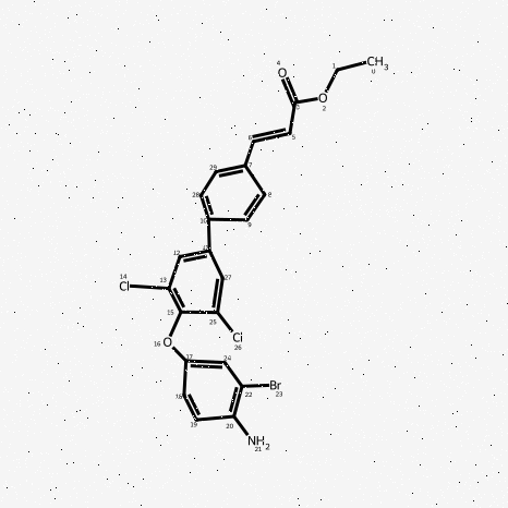 CCOC(=O)C=Cc1ccc(-c2cc(Cl)c(Oc3ccc(N)c(Br)c3)c(Cl)c2)cc1